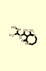 CC1=NCCCNC(=O)C1C(C)NC(C)NO